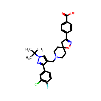 CC(C)(C)n1cc(CN2CCC3(CC2)CC(c2ccc(C(=O)O)cc2)=NO3)c(-c2ccc(F)c(Cl)c2)n1